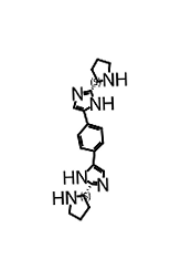 c1cc(-c2cnc([C@@H]3CCCN3)[nH]2)ccc1-c1cnc([C@@H]2CCCN2)[nH]1